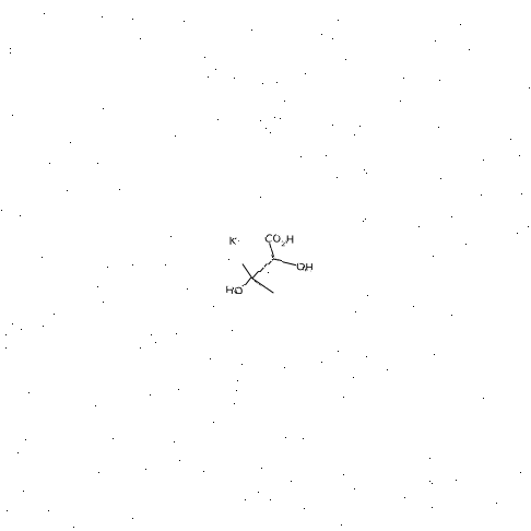 CC(C)(O)C(O)C(=O)O.[K]